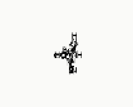 C[C@@H](Nc1nc2c(Br)cccc2c2nc(-c3cnn(C)c3)nn12)C(=O)N1CCNCC1.[Cl-].[H+]